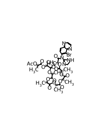 CC(=O)O[C@@H](C)C(=O)O[C@@H](C)C(=O)O[C@@H](C)C(=O)O[C@@H](C)C(=O)O[C@@H](C)C(=O)O[C@@H](C)C(=O)O[C@@H](C)C(=O)O[C@@H](C)C(=O)N(C1=NCCN1)c1ccc2nccnc2c1Br